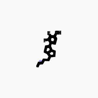 C/C=C/CCC1CCC2C(c3ccc(O)c(F)c3F)=CCC12